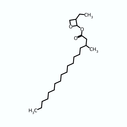 CCCCCCCCCCCCCCCC(C)CC(=O)OC1OCC1CC